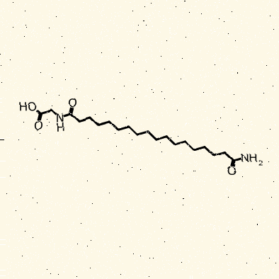 NC(=O)CCCCCCCCCCCCCCCCC(=O)NCC(=O)O